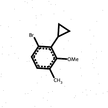 COc1c(C)ccc(Br)c1C1CC1